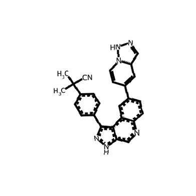 CC(C)(C#N)c1ccc(-c2n[nH]c3cnc4ccc(C5=CC6C=NNN6C=C5)cc4c23)cc1